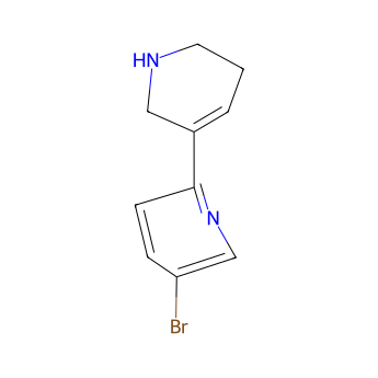 Brc1ccc(C2=CCCNC2)nc1